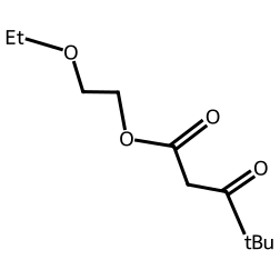 CCOCCOC(=O)CC(=O)C(C)(C)C